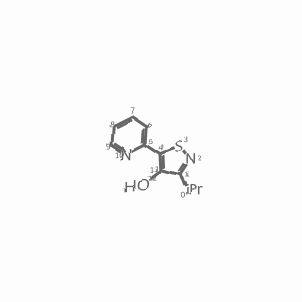 CC(C)c1nsc(-c2ccccn2)c1O